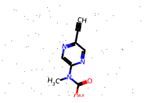 C#Cc1cnc(N(C)C(=O)O)cn1